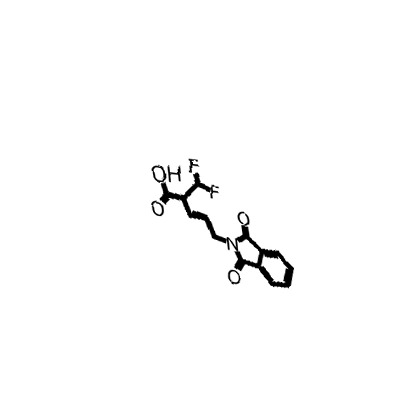 O=C(O)C(/C=C/CN1C(=O)c2ccccc2C1=O)C(F)F